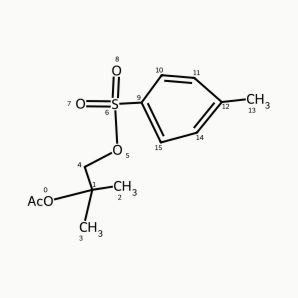 CC(=O)OC(C)(C)COS(=O)(=O)c1ccc(C)cc1